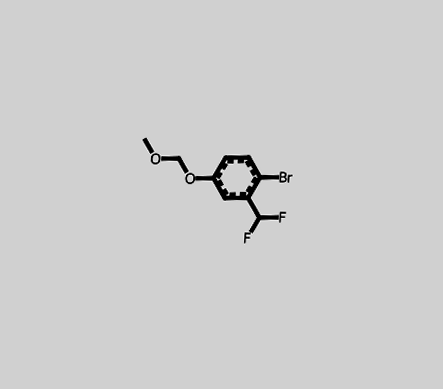 COCOc1ccc(Br)c(C(F)F)c1